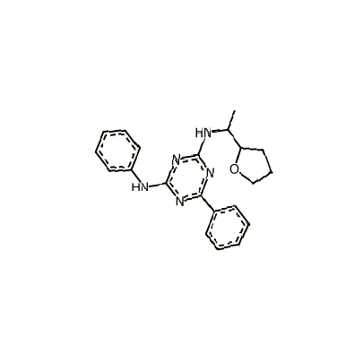 CC(Nc1nc(Nc2ccccc2)nc(-c2ccccc2)n1)C1CCCO1